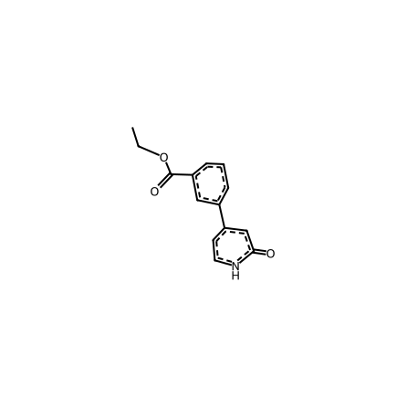 CCOC(=O)c1cccc(-c2cc[nH]c(=O)c2)c1